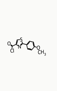 COc1ccc(-c2nc(C(=O)Cl)cs2)cc1